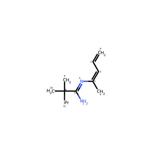 C=C/C=C(C)\N=C(/N)C(C)(C)C(C)C